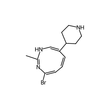 Cc1nc(Br)cccc(C2CCNCC2)c[nH]1